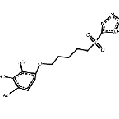 CCCc1c(OCCCCCS(=O)(=O)c2nnn[nH]2)ccc(C(C)=O)c1O